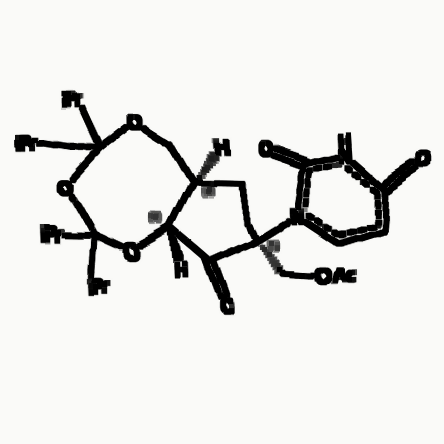 CC(=O)OC[C@@]1(n2ccc(=O)[nH]c2=O)C[C@@H]2COC(C(C)C)(C(C)C)OC(C(C)C)(C(C)C)O[C@H]2C1=O